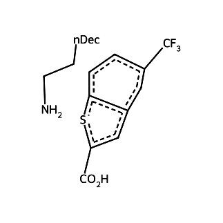 CCCCCCCCCCCCN.O=C(O)c1cc2cc(C(F)(F)F)ccc2s1